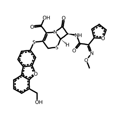 CO/N=C(\C(=O)N[C@@H]1C(=O)N2C(C(=O)O)=C(Sc3ccc4c(c3)oc3c(CO)cccc34)CS[C@H]12)c1ccco1